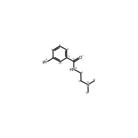 CC(C)c1cccc(C(=O)NCCN(C)C)c1